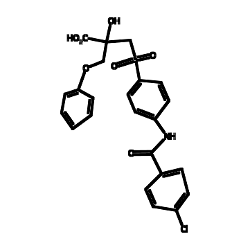 O=C(Nc1ccc(S(=O)(=O)CC(O)(COc2ccccc2)C(=O)O)cc1)c1ccc(Cl)cc1